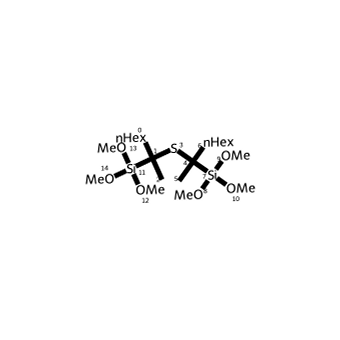 CCCCCCC(C)(SC(C)(CCCCCC)[Si](OC)(OC)OC)[Si](OC)(OC)OC